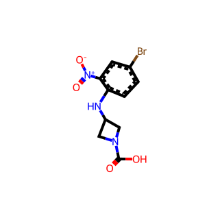 O=C(O)N1CC(Nc2ccc(Br)cc2[N+](=O)[O-])C1